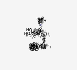 CC(C)(CCC(NC(=O)CCC/C=C/[C@@H]1SC[C@@H]2NC(=O)N[C@@H]21)C(=O)NC(CC(=O)O)C(=O)NC(CC(=O)O)C(=O)O)SSCOCC#Cc1cn(C2CC(O)C(COP(=O)(O)OP(=O)(O)OP(=O)(O)O)O2)c2ncnc(N)c12